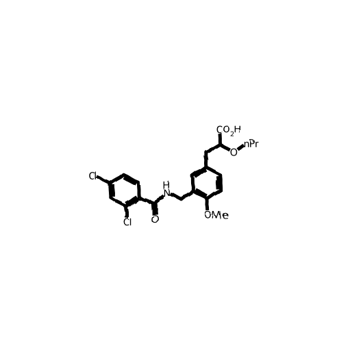 CCCOC(Cc1ccc(OC)c(CNC(=O)c2ccc(Cl)cc2Cl)c1)C(=O)O